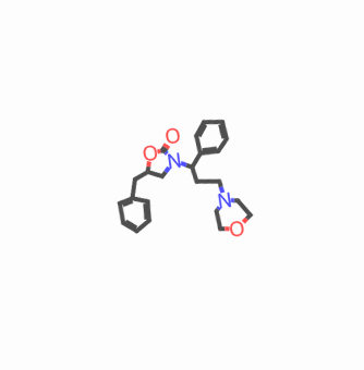 O=C1OC(Cc2ccccc2)CN1C(CCN1CCOCC1)c1ccccc1